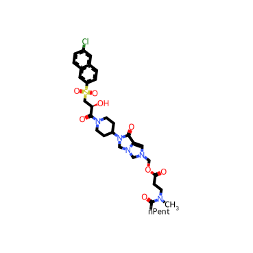 CCCCCC(=O)N(C)CCC(=O)OCN1C=C2C(=O)N(C3CCN(C(=O)[C@H](O)CS(=O)(=O)c4ccc5cc(Cl)ccc5c4)CC3)CN2C1